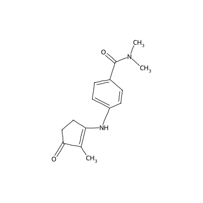 CC1=C(Nc2ccc(C(=O)N(C)C)cc2)CCC1=O